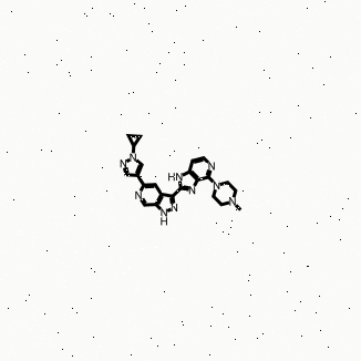 CN1CCN(c2nccc3[nH]c(-c4n[nH]c5cnc(-c6cnn(C7CC7)c6)cc45)nc23)CC1